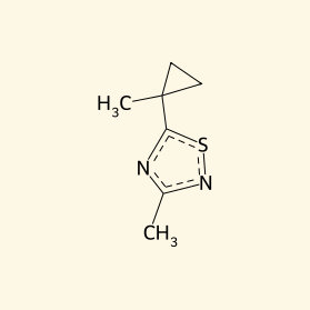 Cc1nsc(C2(C)CC2)n1